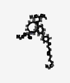 CCCCOCCOc1ccc(-c2ccc3c(c2)/C=C(/C(=O)OC)CCCCN3CC(C)C)cc1